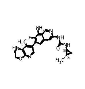 Cc1c(-c2cc3cc(NC(=O)N[C@H]4C[C@@H]4C)ncc3c(N)c2F)cnc2c1NCCO2